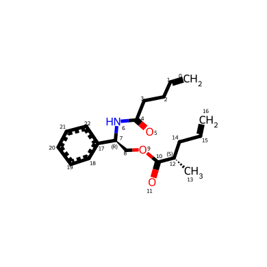 C=CCCC(=O)N[C@@H](COC(=O)[C@@H](C)CC=C)c1ccccc1